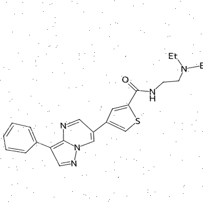 CCN(CC)CCNC(=O)c1cc(-c2cnc3c(-c4ccccc4)cnn3c2)cs1